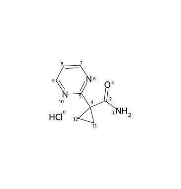 Cl.NC(=O)C1(c2ncccn2)CC1